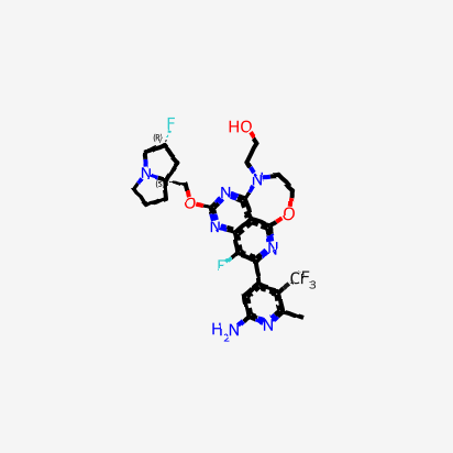 Cc1nc(N)cc(-c2nc3c4c(nc(OC[C@@]56CCCN5C[C@H](F)C6)nc4c2F)N(CCO)CCO3)c1C(F)(F)F